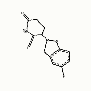 O=C1CCC(N2Cc3cc(F)ccc3S2)C(=O)N1